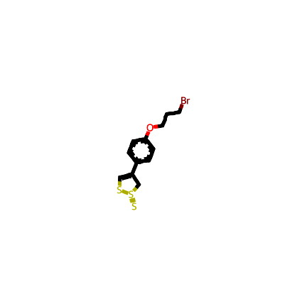 S=S1CC(c2ccc(OCCCBr)cc2)=CS1